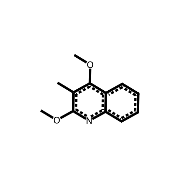 COc1nc2ccccc2c(OC)c1C